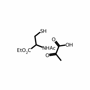 CC(=O)C(=O)O.CCOC(=O)C(CS)NC(C)=O